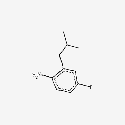 CC(C)Cc1cc(F)ccc1N